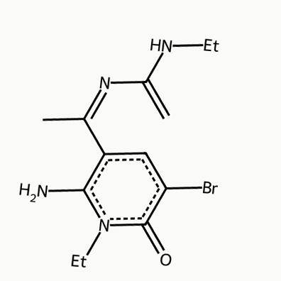 C=C(/N=C(/C)c1cc(Br)c(=O)n(CC)c1N)NCC